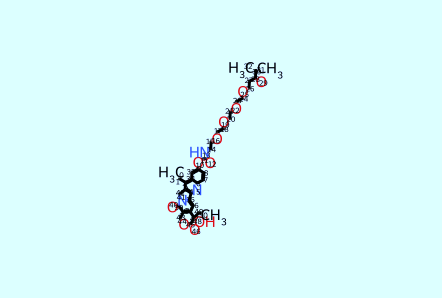 CCc1c2c(nc3ccc(OC(=O)NCCOCCOCCOCCOCCC(=O)C(C)C)cc13)-c1cc3c(c(=O)n1C2)COC(=O)[C@]3(O)CC